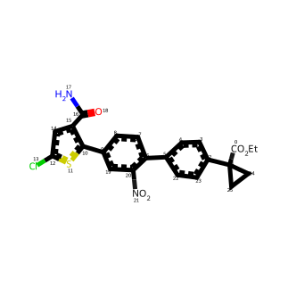 CCOC(=O)C1(c2ccc(-c3ccc(-c4sc(Cl)cc4C(N)=O)cc3[N+](=O)[O-])cc2)CC1